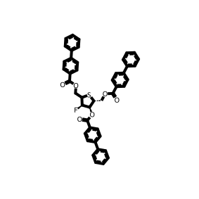 O=C(OCC1S[C@H](COC(=O)c2ccc(-c3ccccc3)cc2)[C@@H](OC(=O)c2ccc(-c3ccccc3)cc2)[C@H]1F)c1ccc(-c2ccccc2)cc1